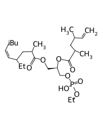 C=CC(C)CC(C)C(=O)O[C@H](COC(=O)C(C)CC(/C=C\C(C)CC)CC)COP(=O)(O)OCC